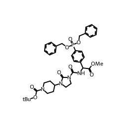 COC(=O)C(NC(=O)N1CCN(C2CCN(C(=O)OC(C)(C)C)CC2)C1=O)c1ccc(P(=O)(OCc2ccccc2)OCc2ccccc2)cc1